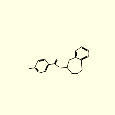 O=C(NC1CCCc2ccccc2C1)c1ccc(Cl)nc1